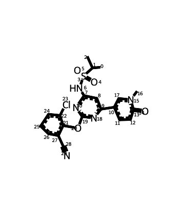 CC(C)S(=O)(=O)Nc1cc(-c2ccc(=O)n(C)c2)nc(Oc2c(Cl)cccc2C#N)n1